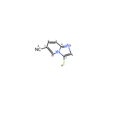 N#Cc1ccc2ncc(F)n2c1